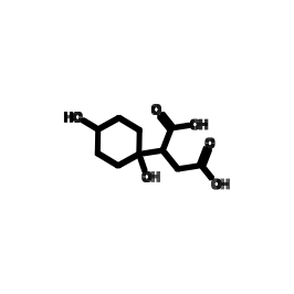 O=C(O)CC(C(=O)O)C1(O)CCC(O)CC1